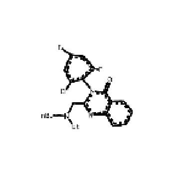 CCCCN(CC)Cc1nc2ccccc2c(=O)n1-c1c(F)cc(F)cc1Cl